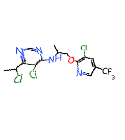 CC(COc1ncc(C(F)(F)F)cc1Cl)Nc1ncnc(C(C)Cl)c1Cl